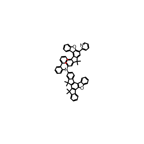 CC1(C)c2cc(N(c3ccc4c(c3)C(C)(C)c3c5c(c6oc7ccccc7c6c3-4)-c3ccccc3C5(C)C)c3ccccc3-c3ccccc3)ccc2-c2c1cc(-c1ccccn1)c1oc3ccccc3c21